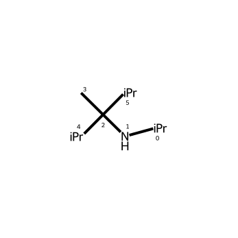 CC(C)NC(C)(C(C)C)C(C)C